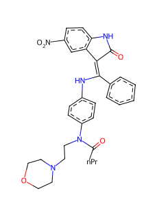 CCCC(=O)N(CCN1CCOCC1)c1ccc(NC(=C2C(=O)Nc3ccc([N+](=O)[O-])cc32)c2ccccc2)cc1